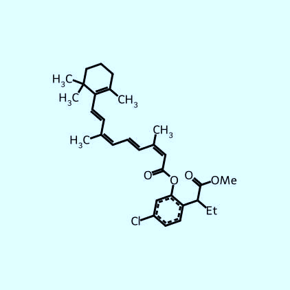 CCC(C(=O)OC)c1ccc(Cl)cc1OC(=O)/C=C(/C)C=CC=C(C)C=CC1=C(C)CCCC1(C)C